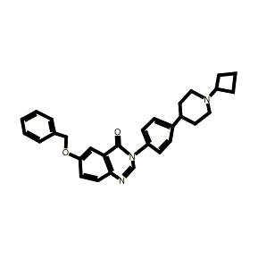 O=c1c2cc(OCc3ccccc3)ccc2ncn1-c1ccc(C2CCN(C3CCC3)CC2)cc1